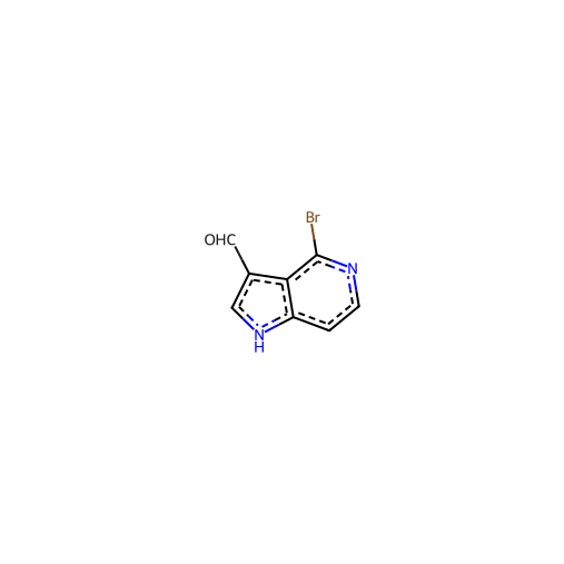 O=Cc1c[nH]c2ccnc(Br)c12